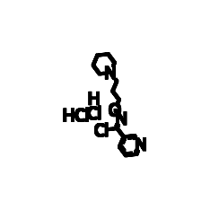 Cl.Cl.ClC(=NOCCCN1CCCCC1)c1cccnc1